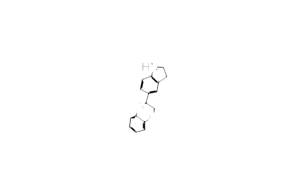 c1ccc2c(c1)OCC(c1ccc3c(c1)CCN3)O2